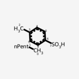 CCCCCC.Cc1ccc(S(=O)(=O)O)cc1